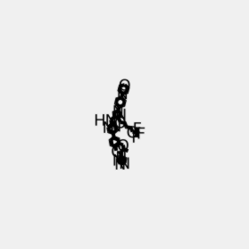 CC(Cn1cnnn1)Oc1cc(-c2cnc(Nc3cn(C4CCC(N5CCOCC5)CC4)nc3OCCCOC(F)(F)F)nc2)ccc1Cl